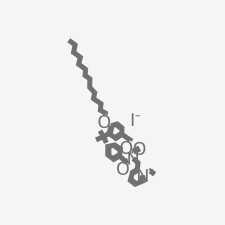 CCCCCCCCCCCCCCOc1ccc(COC(=O)N(Cc2cccc[n+]2CC)C(=O)c2ccccc2)cc1C(C)(C)C.[I-]